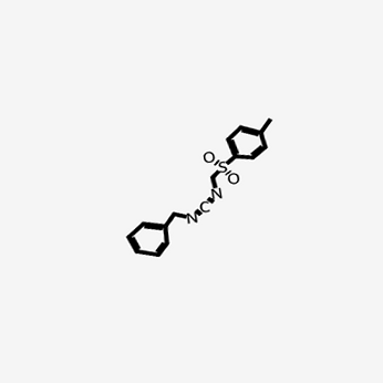 Cc1ccc(S(=O)(=O)CN=C=NCc2ccccc2)cc1